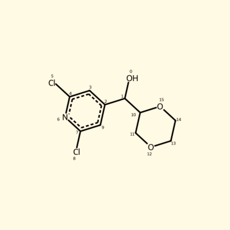 OC(c1cc(Cl)nc(Cl)c1)C1COCCO1